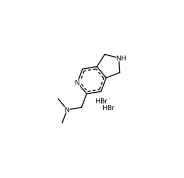 Br.Br.CN(C)Cc1cc2c(cn1)CNC2